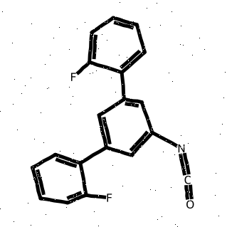 O=C=Nc1cc(-c2ccccc2F)cc(-c2ccccc2F)c1